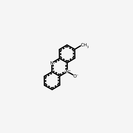 Cc1ccc2nc3ccccc3[n+]([O-])c2c1